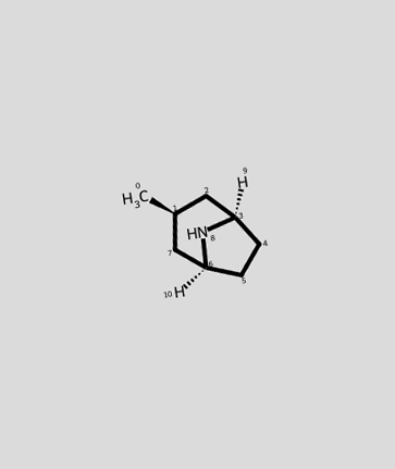 C[C@H]1C[C@H]2CC[C@@H](C1)N2